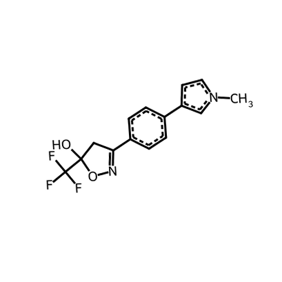 Cn1ccc(-c2ccc(C3=NOC(O)(C(F)(F)F)C3)cc2)c1